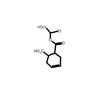 CCCCCCCCC(CC)OC(=O)C1CC=CCC1C(=O)O